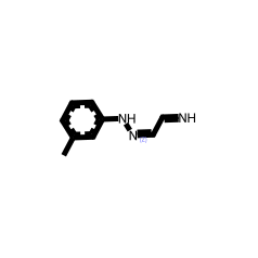 Cc1cccc(N/N=C\C=N)c1